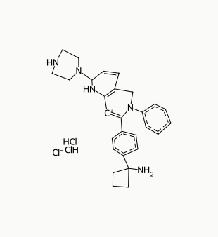 Cl.Cl.NC1(c2ccc(C3=[C+]C4=C(C=CC(N5CCNCC5)N4)CN3c3ccccc3)cc2)CCC1.[Cl-]